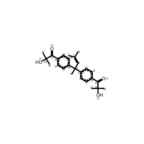 CC(C)=CC(C)(c1ccc(C(=O)C(C)(C)O)cc1)c1ccc(C(=O)C(C)(C)O)cc1